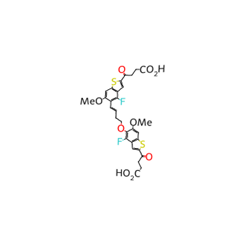 COc1cc2sc(C(=O)CCC(=O)O)cc2c(F)c1/C=C/CCOc1c(OC)cc2sc(C(=O)CCC(=O)O)cc2c1F